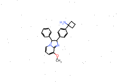 COC1=CC=CN2C1=NC(c1ccc(C3(N)CCC3)cc1)C2c1ccccc1